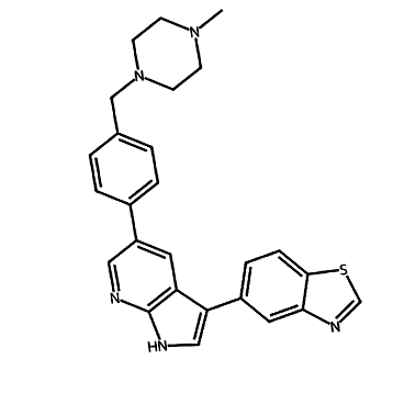 CN1CCN(Cc2ccc(-c3cnc4[nH]cc(-c5ccc6scnc6c5)c4c3)cc2)CC1